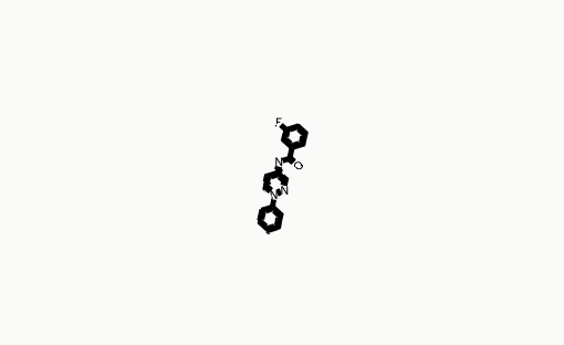 O=C(N=c1ccn(-c2ccccc2)nc1)c1cccc(F)c1